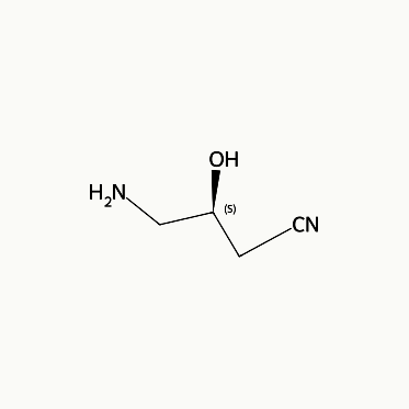 N#CC[C@H](O)CN